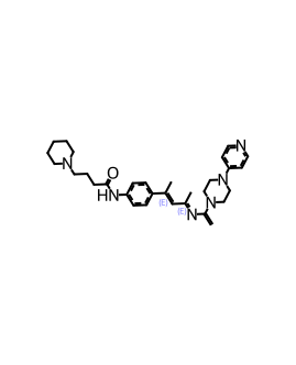 C=C(/N=C(C)/C=C(\C)c1ccc(NC(=O)CCCN2CCCCC2)cc1)N1CCN(c2ccncc2)CC1